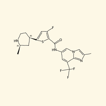 Cc1cn2cc(NC(=O)c3sc([C@@H]4CCN[C@H](C)C4)cc3F)cc(C(F)(F)F)c2n1